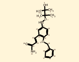 CC(C)(O)C(C)(C)OBc1ccc(OCc2ccccc2)c(/C=C/C(N)=O)c1